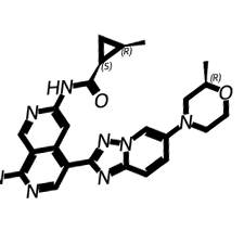 CNc1ncc(-c2nc3ccc(N4CCO[C@H](C)C4)cn3n2)c2cc(NC(=O)[C@H]3C[C@H]3C)ncc12